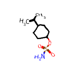 CC(C)C1CCC(OS(N)(=O)=O)CC1